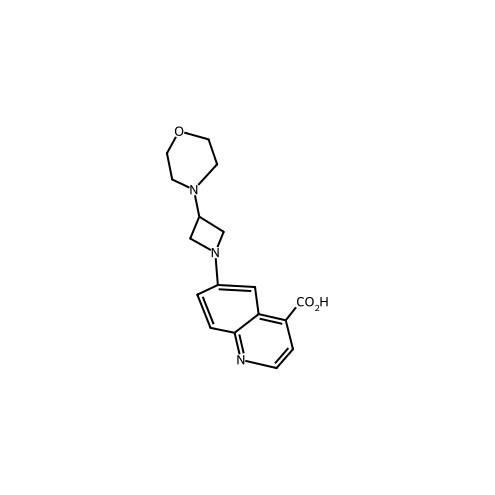 O=C(O)c1ccnc2ccc(N3CC(N4CCOCC4)C3)cc12